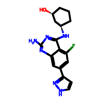 Nc1nc(N[C@H]2CCC[C@@H](O)C2)c2c(F)cc(-c3cc[nH]n3)cc2n1